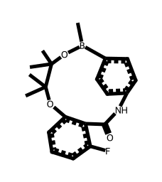 CB1OC(C)(C)C(C)(C)Oc2cccc(F)c2C(=O)Nc2ccc1cc2